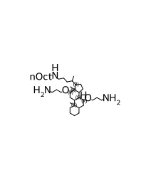 CCCCCCCCNCCCC(C)[C@H]1CCC2[C@@H]3C(C[C@H](OCCCN)[C@@]21C)[C@@]1(C)CCCCC1C[C@H]3OCCCN